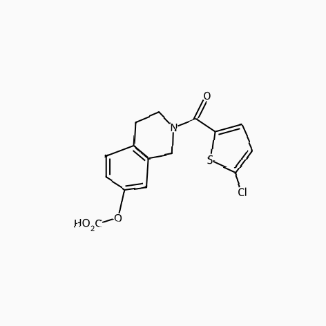 O=C(O)Oc1ccc2c(c1)CN(C(=O)c1ccc(Cl)s1)CC2